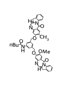 CCCCC(=O)Nc1cc(COc2cc3c(cc2C)C(=O)N2c4ccccc4C[C@H]2C=N3)cc(COc2cc3c(cc2OC)C(=O)N2c4ccccc4C[C@H]2C=N3)c1